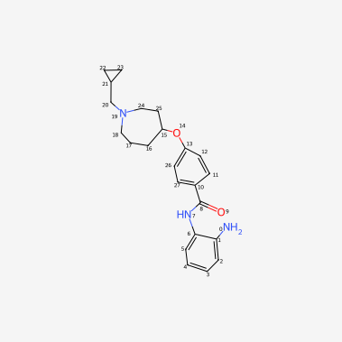 Nc1ccccc1NC(=O)c1ccc(OC2CCCN(CC3CC3)CC2)cc1